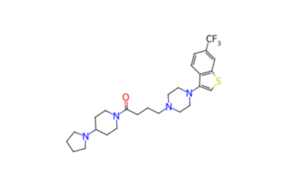 O=C(CCCN1CCN(c2csc3cc(C(F)(F)F)ccc23)CC1)N1CCC(N2CCCC2)CC1